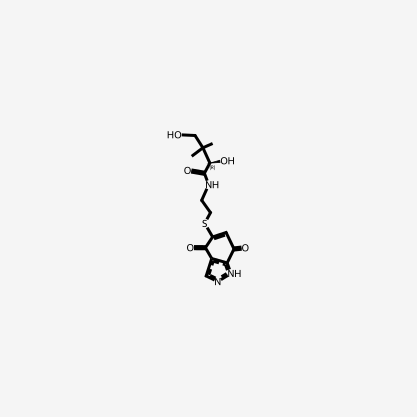 CC(C)(CO)[C@@H](O)C(=O)NCCSC1=CC(=O)c2[nH]ncc2C1=O